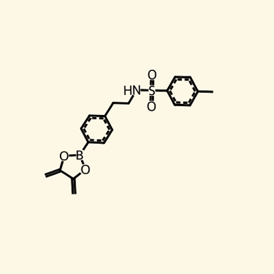 C=C1OB(c2ccc(CCNS(=O)(=O)c3ccc(C)cc3)cc2)OC1=C